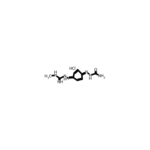 CNC(=N)NN=C1C=CC(=NNC(N)=O)C=C1.Cl